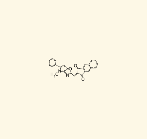 Cn1c(-c2ccccc2)cc2oc(C=C3C(=O)c4cc5ccccc5cc4C3=O)nc21